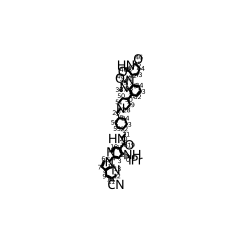 CC(C)Nc1cc(-n2ccc3cc(C#N)cnc32)ncc1C(=O)NC[C@H]1CC[C@H](CN2CCC(c3cccc4c3n(C)c(=O)n4C3CCC(=O)NC3=O)CC2)CC1